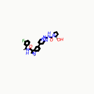 C[C@H](NC(=O)c1cn(C)c2ccc(-c3ccn4nc(NC(=O)N5CCC[C@@H]5CO)nc4c3)cc12)c1cccc(F)c1